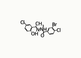 C/C(=N\NC(=O)c1ccc(Cl)c(Br)c1)c1cc(Cl)ccc1O